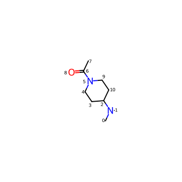 C[N]C1CCN(C(C)=O)CC1